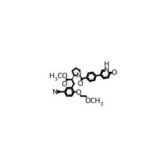 COCCOc1ccc(C#N)cc1CC(C(=O)OC)[C@H]1CCCN1C(=O)c1ccc(-c2ccc(=O)[nH]c2)cc1